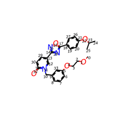 COCCOc1cccc(Cn2cc(-c3noc(-c4ccc(OC(C)C)cc4)n3)ccc2=O)c1